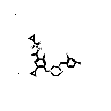 O=C(NS(=O)(=O)C1CC1)c1cc(C2CC2)c(CN2CCO[C@H](Cc3ccc(F)cc3F)C2)cc1F